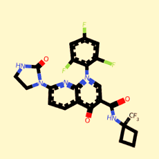 O=C(NC1(C(F)(F)F)CCC1)c1cn(-c2c(F)cc(F)cc2F)c2nc(N3CCNC3=O)ccc2c1=O